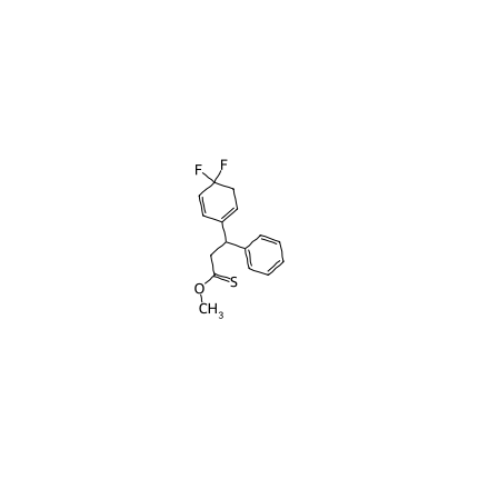 COC(=S)CC(C1=CCC(F)(F)C=C1)c1ccccc1